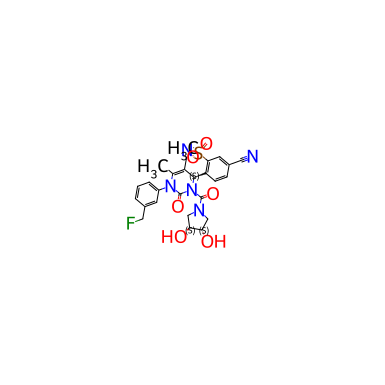 CC1=C(C#N)[C@@H](c2ccc(C#N)cc2S(C)(=O)=O)N(C(=O)N2C[C@H](O)[C@@H](O)C2)C(=O)N1c1cccc(CF)c1